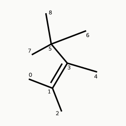 CC(C)=C(C)C(C)(C)C